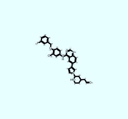 O=[C]CC1CCNC(n2ccc(-c3ccc4ncnc(Nc5ccc(OCc6cccc(F)c6)c(Cl)c5)c4c3)c2)C1